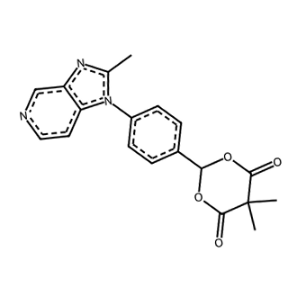 Cc1nc2cnccc2n1-c1ccc(C2OC(=O)C(C)(C)C(=O)O2)cc1